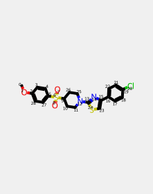 COc1ccc(S(=O)(=O)C2CCN(c3nc(-c4ccc(Cl)cc4)cs3)CC2)cc1